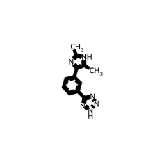 Cc1nc(-c2cccc(-c3nn[nH]n3)c2)c(C)[nH]1